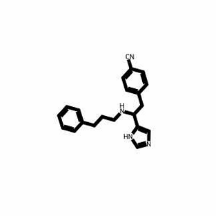 N#Cc1ccc(CC(NCCCc2ccccc2)c2cnc[nH]2)cc1